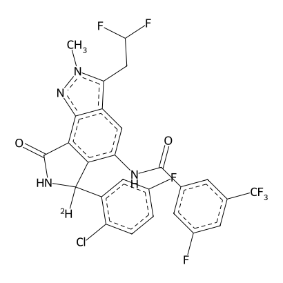 [2H]C1(c2cc(F)ccc2Cl)NC(=O)c2c1c(NC(=O)c1cc(F)cc(C(F)(F)F)c1)cc1c(CC(F)F)n(C)nc21